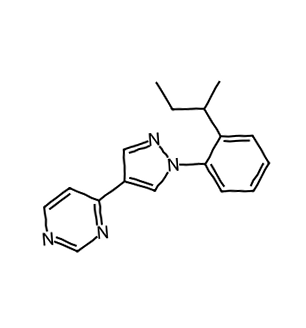 CCC(C)c1ccccc1-n1cc(-c2ccncn2)cn1